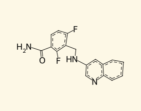 NC(=O)c1ccc(F)c(CNc2cnc3ccccc3c2)c1F